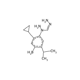 Bc1cc(C2CC2)c(N(N)/C=N\N)cc1C(C)C